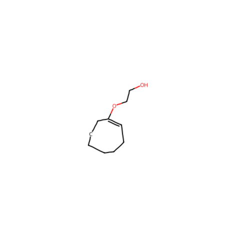 OCCO/C1=C/CCCCCC1